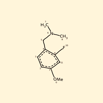 COc1ccc(CN(C)C)c(F)c1